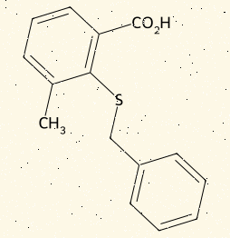 Cc1cccc(C(=O)O)c1SCc1ccccc1